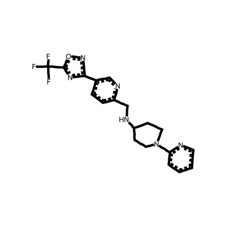 FC(F)(F)c1nc(-c2ccc(CNC3CCN(c4ccccn4)CC3)nc2)no1